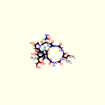 CC[C@H](C)[C@@H]1NC(=O)CNC(=O)C2Cc3c([nH]c4cc(O)ccc34)SCC(NC(=O)CNC1=O)C(=O)N[C@@H](CC(N)=O)C(=O)N1CC(O)C[C@H]1C(=O)N[C@@H]([C@@H](C)C(O)CO)C(=O)N2